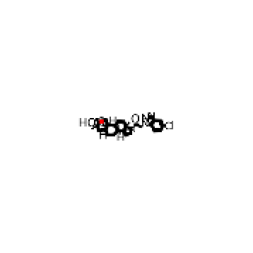 CSC[C@]12CC[C@@](C)(O)C[C@H]1CC[C@H]1[C@@H]3CC[C@H](C(=O)Cn4nnc5cc(Cl)ccc54)[C@@]3(C)CC[C@@H]12